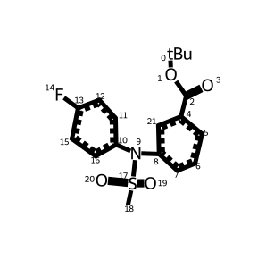 CC(C)(C)OC(=O)c1cccc(N(c2ccc(F)cc2)S(C)(=O)=O)c1